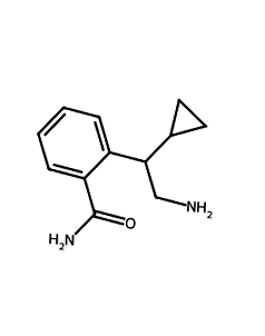 NCC(c1ccccc1C(N)=O)C1CC1